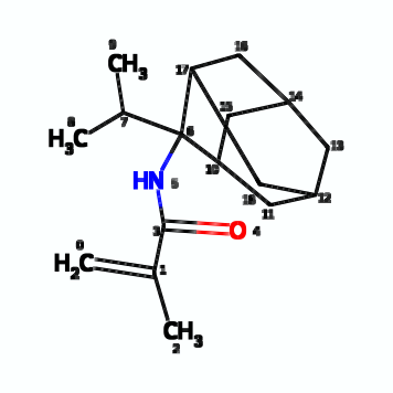 C=C(C)C(=O)NC1(C(C)C)C2CC3CC(C2)CC1C3